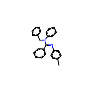 Cc1ccc(N=C(c2ccccc2)N(Cc2ccccc2)c2ccccc2)cc1